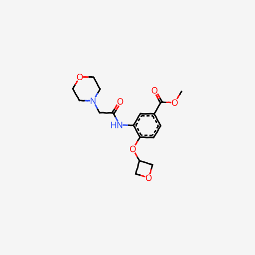 COC(=O)c1ccc(OC2COC2)c(NC(=O)CN2CCOCC2)c1